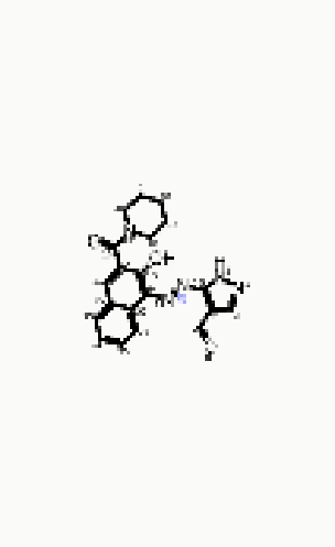 O=Cc1cn[nH]c1/N=N/c1c(O)c(C(=O)N2CCCCC2)cc2ccccc12